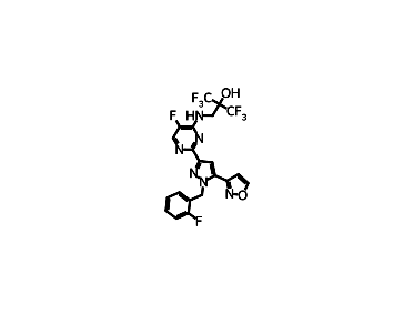 OC(CNc1nc(-c2cc(-c3ccon3)n(Cc3ccccc3F)n2)ncc1F)(C(F)(F)F)C(F)(F)F